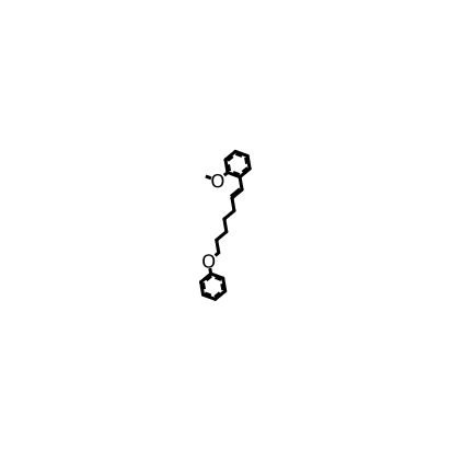 COc1ccccc1/C=C/CCCCCOc1ccccc1